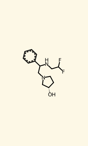 O[C@H]1CCN(CC(NCC(F)F)c2ccccc2)C1